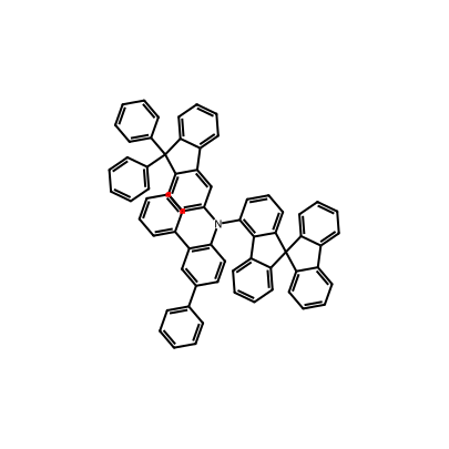 c1ccc(-c2ccc(N(c3ccc4c(c3)-c3ccccc3C4(c3ccccc3)c3ccccc3)c3cccc4c3-c3ccccc3C43c4ccccc4-c4ccccc43)c(-c3ccccc3)c2)cc1